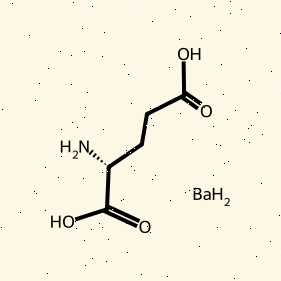 N[C@H](CCC(=O)O)C(=O)O.[BaH2]